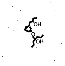 CCCC(O)(CCC)COc1cccc(C[C@H](O)CC)c1